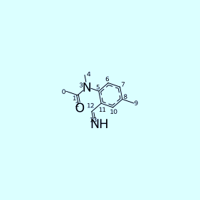 CC(=O)N(C)c1ccc(C)cc1C=N